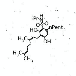 CCCCCc1cc(O)c(CC=C(C)CCC=C(C)C)c(O)c1S(=O)(=O)NC(C)C